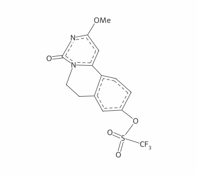 COc1cc2n(c(=O)n1)CCc1cc(OS(=O)(=O)C(F)(F)F)ccc1-2